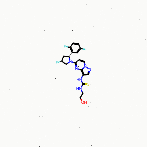 OCCNC(=S)Nc1cnn2ccc(N3C[C@@H](F)C[C@@H]3c3cc(F)ccc3F)nc12